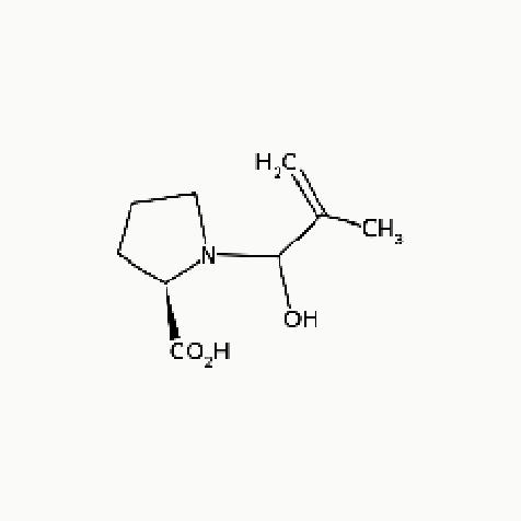 C=C(C)C(O)N1CCC[C@@H]1C(=O)O